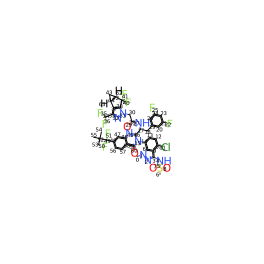 Cn1nc(NS(C)(=O)=O)c2c(Cl)ccc(-n3c([C@H](Cc4cc(F)cc(F)c4)NC(=O)Cn4nc(C(F)F)c5c4C(F)(F)[C@@H]4C[C@H]54)nc4cc(C(F)(F)C(C)(C)C)ccc4c3=O)c21